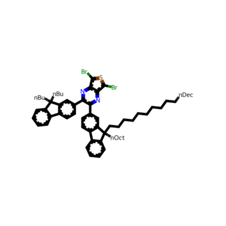 CCCCCCCCCCCCCCCCCCCCC1(CCCCCCCC)c2ccccc2-c2ccc(-c3nc4c(Br)sc(Br)c4nc3-c3ccc4c(c3)C(CCCC)(CCCC)c3ccccc3-4)cc21